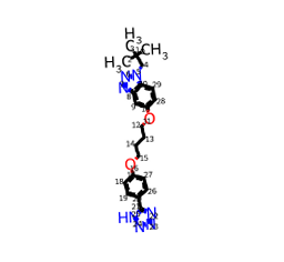 CC(C)(C)Cn1nnc2cc(OCCCCOc3ccc(-c4nnn[nH]4)cc3)ccc21